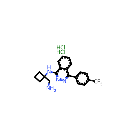 Cl.Cl.NCC1(Nc2nnc(-c3ccc(C(F)(F)F)cc3)c3ccccc23)CCC1